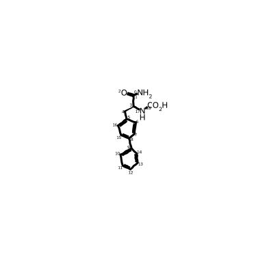 NC(=O)[C@H](Cc1ccc(-c2ccccc2)cc1)NC(=O)O